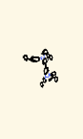 CC1(C)c2ccccc2-c2cccc(N(c3ccc(-c4ccccc4)cc3)c3ccc(-c4ccc(N(c5ccc(-c6ccccc6)cc5)c5cccc6c5C(C)(C)c5ccccc5-6)cc4)cc3)c21